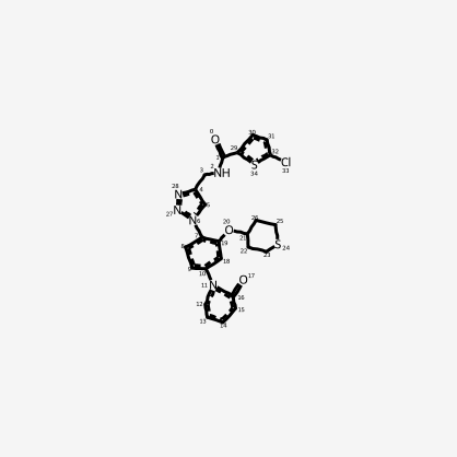 O=C(NCc1cn(-c2ccc(-n3ccccc3=O)cc2OC2CCSCC2)nn1)c1ccc(Cl)s1